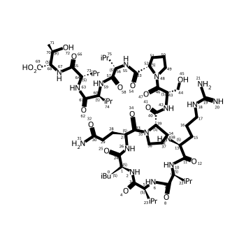 CC[C@H](C)[C@H](NC(=O)[C@@H](NC(=O)[C@@H](NC(=O)[C@@H](N)CCCNC(=N)N)C(C)C)C(C)C)C(=O)N[C@@H](CCC(N)=O)C(=O)N1CCC[C@H]1C(=O)N[C@@H](CO)C(=O)N1CCC[C@H]1C(=O)N[C@H](C(=O)N[C@H](C(=O)N[C@H](C(=O)N[C@H](C(=O)O)[C@@H](C)O)C(C)C)C(C)C)C(C)C